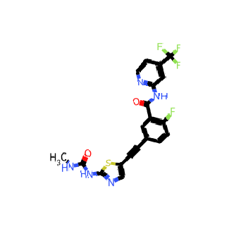 CNC(=O)Nc1ncc(C#Cc2ccc(F)c(C(=O)Nc3cc(C(F)(F)F)ccn3)c2)s1